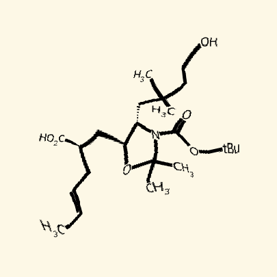 CC=CC[C@H](C[C@@H]1OC(C)(C)N(C(=O)OC(C)(C)C)[C@H]1CC(C)(C)CCO)C(=O)O